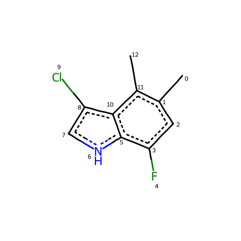 Cc1cc(F)c2[nH]cc(Cl)c2c1C